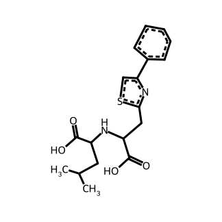 CC(C)CC(NC(Cc1nc(-c2ccccc2)cs1)C(=O)O)C(=O)O